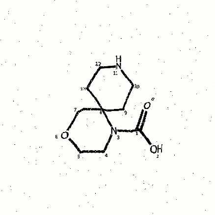 O=C(O)N1CCOCC12CCNCC2